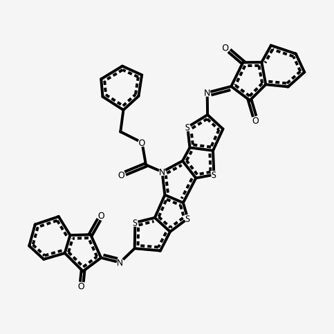 O=C(OCc1ccccc1)n1c2c3sc(N=c4c(=O)c5ccccc5c4=O)cc3sc2c2sc3cc(N=c4c(=O)c5ccccc5c4=O)sc3c21